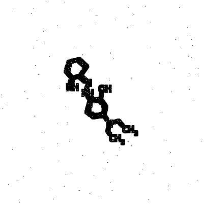 CCN(CC)c1ccc(N/N=C2/C=CC=CC2=N)c(O)c1